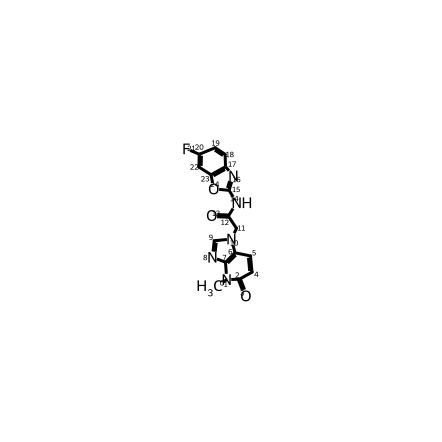 Cn1c(=O)ccc2c1ncn2CC(=O)Nc1nc2ccc(F)cc2o1